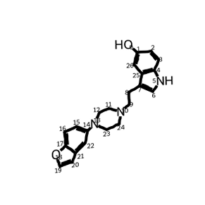 Oc1ccc2[nH]cc(CCN3CCN(c4ccc5occc5c4)CC3)c2c1